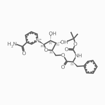 CC(C)(C)OC(=O)N[C@@H](Cc1ccccc1)C(=O)OC[C@H]1O[C@@H]([n+]2cccc(C(N)=O)c2)[C@H](O)[C@@H]1O